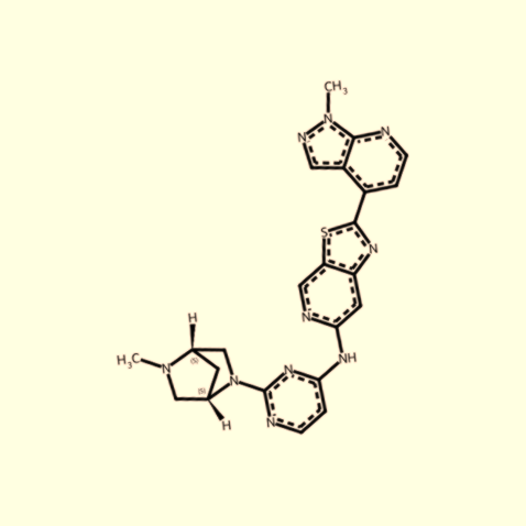 CN1C[C@@H]2C[C@H]1CN2c1nccc(Nc2cc3nc(-c4ccnc5c4cnn5C)sc3cn2)n1